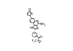 Nc1nc2cc(-c3cc[nH]n3)ccc2c2[nH]c([C@H]3CCCN(C(=O)C4(C(F)(F)F)CC4)C3)nc12